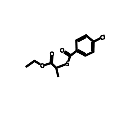 CCOC(=O)C(C)SC(=O)c1ccc(Cl)cc1